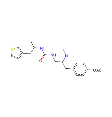 CC(=O)Oc1ccc(CC(CNC(=O)NC(C)Cc2ccsc2)N(C)C)cc1